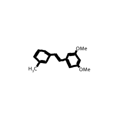 COc1cc(C=Cc2cccc(C)c2)cc(OC)c1